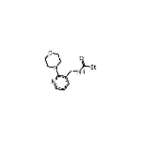 CCC(=O)NCc1cccnc1N1CCOCC1